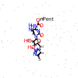 CCCCCOC(=O)Nc1nc(=O)n([C@@H]2OC(Cn3cc(C)nn3)[C@@H](O)[C@H]2O)cc1N